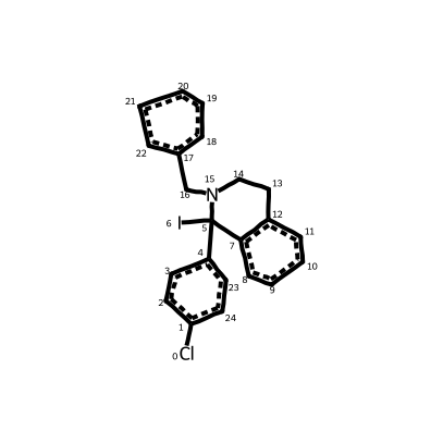 Clc1ccc(C2(I)c3ccccc3CCN2Cc2ccccc2)cc1